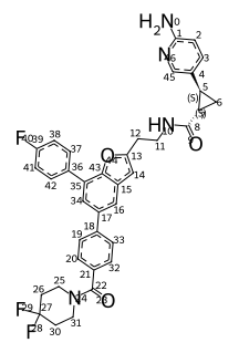 Nc1ccc([C@H]2C[C@@H]2C(=O)NCCc2cc3cc(-c4ccc(C(=O)N5CCC(F)(F)CC5)cc4)cc(-c4ccc(F)cc4)c3o2)cn1